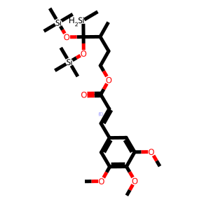 COc1cc(/C=C/C(=O)OCCC(C)C(O[Si](C)(C)C)(O[Si](C)(C)C)[SiH2]C)cc(OC)c1OC